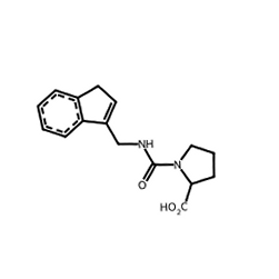 O=C(O)C1CCCN1C(=O)NCC1=CCc2ccccc21